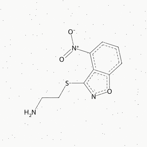 NCCSc1noc2cccc([N+](=O)[O-])c12